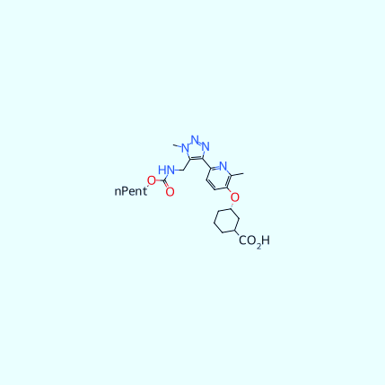 CCCCCOC(=O)NCc1c(-c2ccc(O[C@H]3CCCC(C(=O)O)C3)c(C)n2)nnn1C